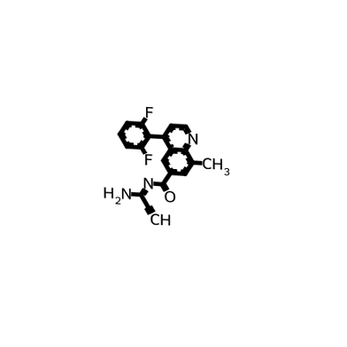 C#C/C(N)=N\C(=O)c1cc(C)c2nccc(-c3c(F)cccc3F)c2c1